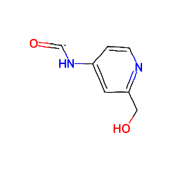 O=[C]Nc1ccnc(CO)c1